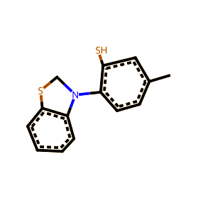 Cc1ccc(N2CSc3ccccc32)c(S)c1